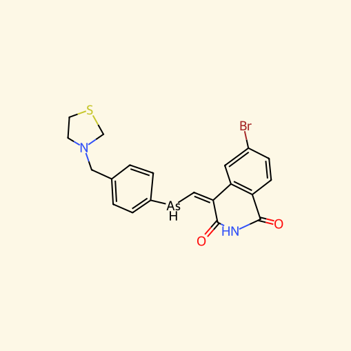 O=C1NC(=O)c2ccc(Br)cc2C1=C[AsH]c1ccc(CN2CCSC2)cc1